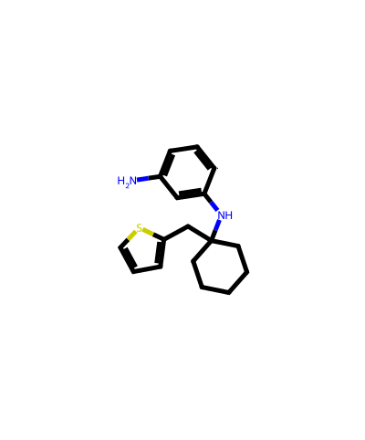 Nc1cc[c]c(NC2(Cc3cccs3)CCCCC2)c1